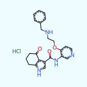 Cl.O=C(Nc1cnccc1OCCNCc1ccccc1)c1c[nH]c2c1C(=O)CCC2